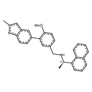 COc1ccc(CN[C@H](C)c2cccc3ccccc23)cc1-c1ccc2nn(C)cc2c1